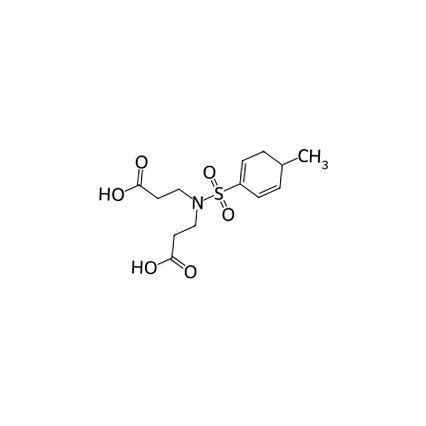 CC1C=CC(S(=O)(=O)N(CCC(=O)O)CCC(=O)O)=CC1